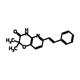 CC1(C)Oc2ccc(/C=C/c3ccccc3)nc2NC1=O